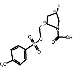 Cc1ccc(S(=O)(=O)OC[C@@H]2C[C@@H](F)CN2C(=O)O)cc1